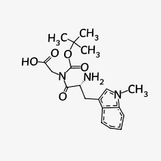 Cn1cc(C[C@@H](N)C(=O)N(CC(=O)O)C(=O)OC(C)(C)C)c2ccccc21